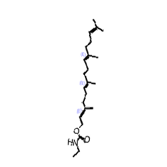 CCNC(=O)OC/C=C(\C)CC/C=C(\C)CC/C=C(\C)CCC=C(C)C